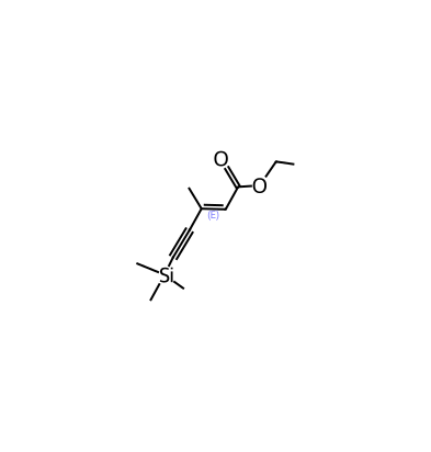 CCOC(=O)/C=C(\C)C#C[Si](C)(C)C